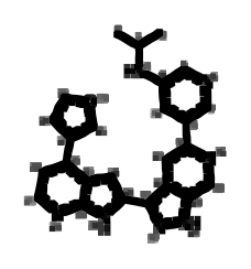 CC(C)Nc1cncc(-c2cc3c(-c4cc5c(-c6ccoc6)ccnc5[nH]4)n[nH]c3cn2)c1